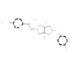 Oc1ccc(C(O)CN2C[C@H]3C[C@@H](Oc4ccc(F)cc4)C[C@H]3C2)nc1